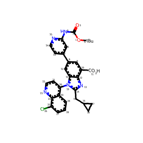 CC(C)(C)OC(=O)Nc1cc(-c2cc(C(=O)O)c3nc(CC4CC4)n(-c4ccnc5c(Cl)cccc45)c3c2)ccn1